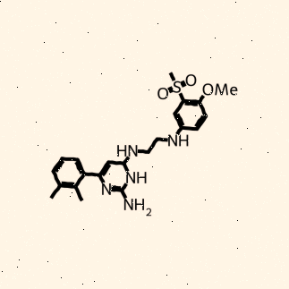 COc1ccc(NCCNC2C=C(c3cccc(C)c3C)N=C(N)N2)cc1S(C)(=O)=O